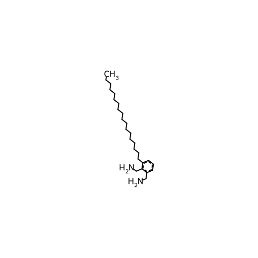 CCCCCCCCCCCCCCCCCCc1cccc(CN)c1CN